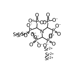 O=P([O-])([O-])C(N(C(P(=O)([O-])[O-])P(=O)([O-])[O-])C(P(=O)([O-])[O-])P(=O)([O-])[O-])P(=O)([O-])[O-].[Sr+2].[Sr+2].[Sr+2].[Sr+2].[Sr+2].[Sr+2]